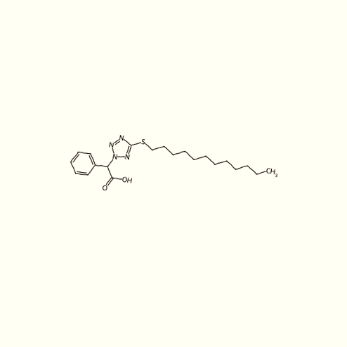 CCCCCCCCCCCCSc1nnn(C(C(=O)O)c2ccccc2)n1